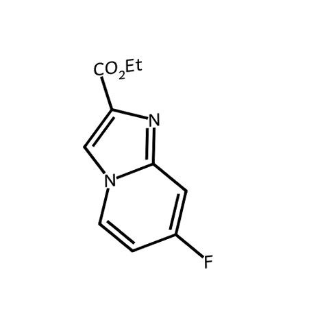 CCOC(=O)c1cn2ccc(F)cc2n1